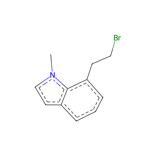 Cn1ccc2cccc(CCBr)c21